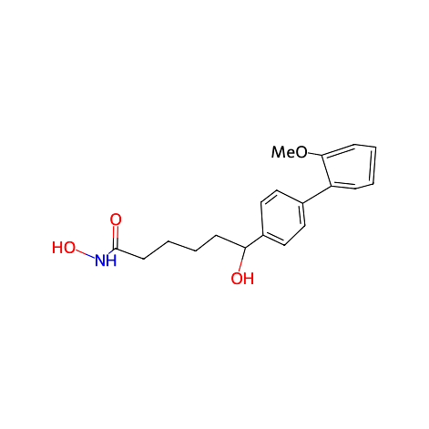 COc1ccccc1-c1ccc(C(O)CCCCC(=O)NO)cc1